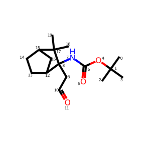 CC(C)(C)OC(=O)NC1(CC=O)C2CCC(C2)C1(C)C